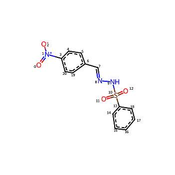 O=[N+]([O-])c1ccc(C=NNS(=O)(=O)c2ccccc2)cc1